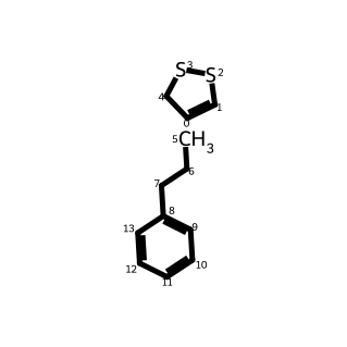 C1=CSSC1.CCCc1ccccc1